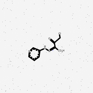 O=C(O)/C(=N/Nc1cccnc1)C(=O)CCl